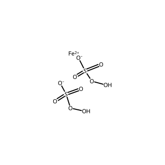 O=S(=O)([O-])OO.O=S(=O)([O-])OO.[Fe+2]